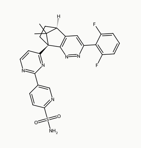 CC1(C)[C@H]2CC[C@@]1(c1ccnc(-c3ccc(S(N)(=O)=O)nc3)n1)c1nnc(-c3c(F)cccc3F)cc12